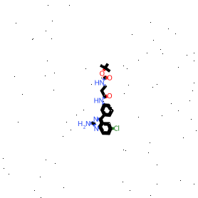 CC(C)(C)OC(=O)NCCC(=O)Nc1cccc(-c2nc(N)nc3ccc(Cl)cc23)c1